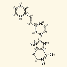 O=C1NCCc2[nH]c(-c3ccnc(C=Cc4ccccc4)c3)nc21